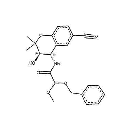 COC(OCc1ccccc1)C(=O)N[C@H]1c2cc(C#N)ccc2OC(C)(C)[C@@H]1O